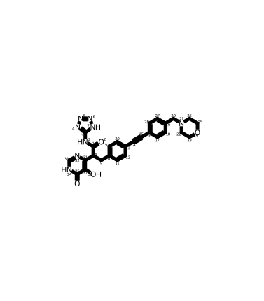 O=C(Nc1nnn[nH]1)C(Cc1ccc(C#Cc2ccc(CN3CCOCC3)cc2)cc1)c1nc[nH]c(=O)c1O